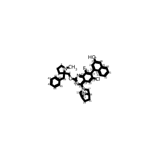 CN1CCCC1(COc1nc(N2CC3CCC(C2)N3)c2cc(Cl)c(-c3cc(O)cc4ccccc34)c(F)c2n1)Cc1ccccc1